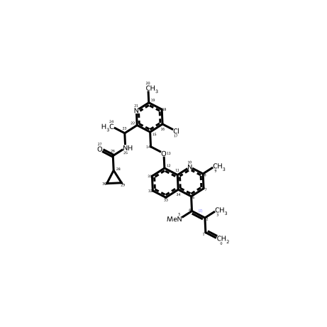 C=C/C(C)=C(\NC)c1cc(C)nc2c(OCc3c(Cl)cc(C)nc3C(C)NC(=O)C3CC3)cccc12